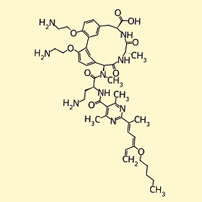 C=C/C(=C\C=C(/C)c1nc(C)c(C(=O)N[C@@H](CCN)C(=O)N(C)[C@@H]2C(=O)N[C@@H](C)C(=O)N[C@H](C(=O)O)Cc3ccc(OCCN)c(c3)-c3cc2ccc3OCCN)c(C)n1)OCCCCC